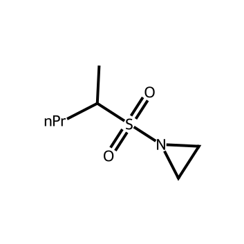 CCCC(C)S(=O)(=O)N1CC1